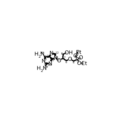 CCOP(=O)(COCC(CO)On1cnc2c(N)nc(N)nc21)OCC